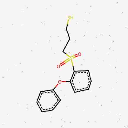 O=S(=O)(CCCS)c1ccccc1Oc1ccccc1